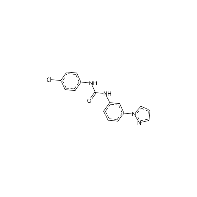 O=C(Nc1ccc(Cl)cc1)Nc1cccc(-n2cccn2)c1